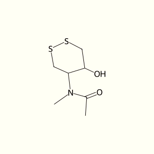 CC(=O)N(C)C1CSSCC1O